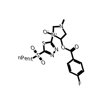 CCCCCS(=O)(=O)c1nnc([N+]2([O-])CN(C)CC2OC(=O)c2ccc(F)cc2)s1